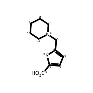 O=C(O)c1ccc(CN2CC[CH]CC2)s1